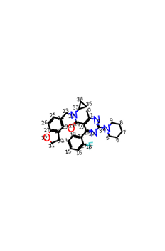 Cc1nc(N2CCCCC2)nc(-c2ccccc2F)c1C(=O)N(Cc1ccc2c(c1)CCO2)C1CC1